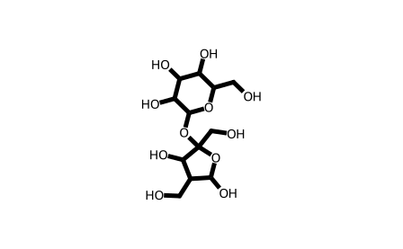 OCC1OC(OC2(CO)OC(O)C(CO)C2O)C(O)C(O)C1O